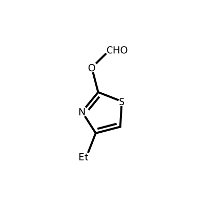 CCc1csc(OC=O)n1